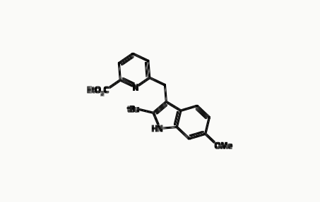 CCOC(=O)c1cccc(Cc2c(C(C)(C)C)[nH]c3cc(OC)ccc23)n1